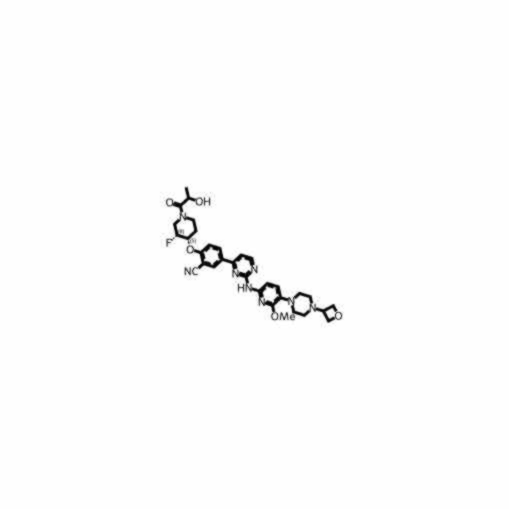 COc1nc(Nc2nccc(-c3ccc(O[C@H]4CCN(C(=O)C(C)O)C[C@H]4F)c(C#N)c3)n2)ccc1N1CCN(C2COC2)CC1